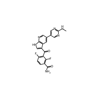 CNc1ncc(-c2cnc3[nH]cc(C(=O)c4c(F)ccc(C(N)=O)c4F)c3c2)cn1